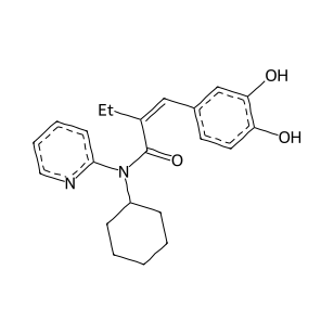 CC/C(=C/c1ccc(O)c(O)c1)C(=O)N(c1ccccn1)C1CCCCC1